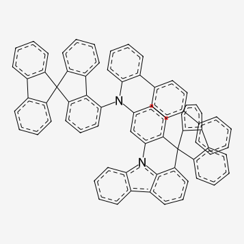 c1ccc(-c2ccc(-c3ccccc3N(c3ccc4c(c3)-n3c5ccccc5c5cccc(c53)C43c4ccccc4-c4ccccc43)c3cccc4c3-c3ccccc3C43c4ccccc4-c4ccccc43)cc2)cc1